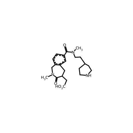 CN(CCC1CCNCC1)C(=O)c1ccc2c(c1)CC(CC(=O)O)C(=O)N(C)C2